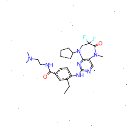 CCc1cc(C(=O)NCCN(C)C)ccc1Nc1ncc2c(n1)N(C1CCCC1)CC(F)(F)C(=O)N2C